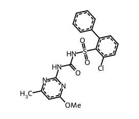 COc1cc(C)nc(NC(=O)NS(=O)(=O)c2c(Cl)cccc2-c2ccccc2)n1